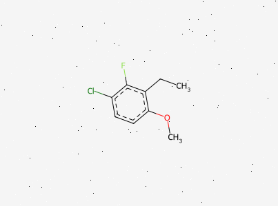 CCc1c(OC)ccc(Cl)c1F